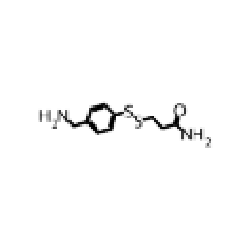 NCc1ccc(SSCCC(N)=O)cc1